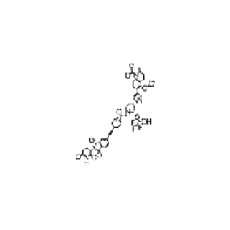 C[C@H]1CCc2c(ccc(-c3cnn(C4CCN(CC(=O)N5CCC(C#Cc6ccc7c(c6)C(=O)N(C6CCC(=O)NC6=O)C7=O)CC5)CC4)c3)c2OC2CCC2)N1C(=O)C1CC1.O=C(O)C(F)(F)F